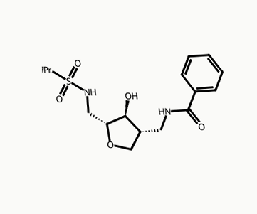 CC(C)S(=O)(=O)NC[C@H]1OC[C@@H](CNC(=O)c2ccccc2)[C@@H]1O